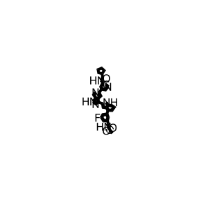 CS(=O)(=O)NCc1cc(F)cc(-c2cccc3[nH]c(-c4n[nH]c5cnc(-c6cncc(NC(=O)C7CCCC7)c6)cc45)cc23)c1